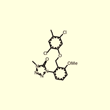 COc1cccc(-n2nnn(C)c2=O)c1COc1cc(Cl)c(C)cc1Cl